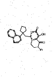 CC(C)N1CCn2c(CC3(c4cccc5ccccc45)CCCC3)nc(=O)c(O)c2C1=O